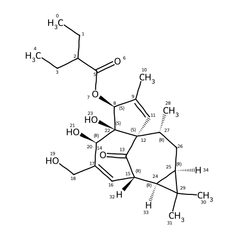 CCC(CC)C(=O)O[C@H]1C(C)=C[C@]23C(=O)[C@@H](C=C(CO)[C@@H](O)[C@]12O)[C@H]1[C@@H](C[C@H]3C)C1(C)C